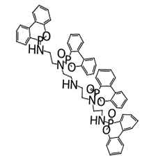 O=P1(NCCN(CCNCCN(CCNP2Oc3ccccc3-c3ccccc32)P2(=O)Oc3ccccc3-c3ccccc32)P2(=O)Oc3ccccc3-c3ccccc32)Oc2ccccc2-c2ccccc21